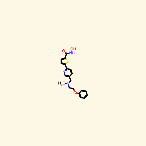 CN(CCOc1ccccc1)Cc1ccc(-c2ccc(C(=O)NO)s2)nc1